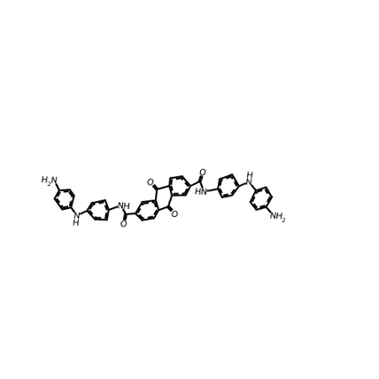 Nc1ccc(Nc2ccc(NC(=O)c3ccc4c(c3)C(=O)c3ccc(C(=O)Nc5ccc(Nc6ccc(N)cc6)cc5)cc3C4=O)cc2)cc1